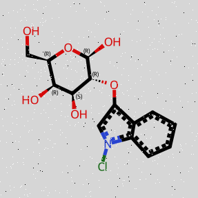 OC[C@H]1O[C@@H](O)[C@H](Oc2cn(Cl)c3ccccc23)[C@@H](O)[C@H]1O